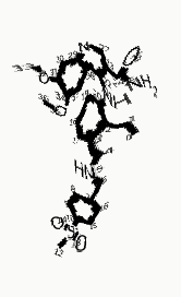 CCc1c(CNCc2ccc(S(C)(=O)=O)cc2)cccc1Nc1c(C(N)=O)cnc2cc(OC)c(OC)cc12